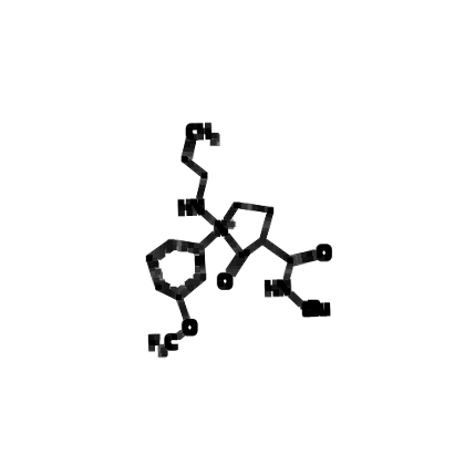 C=CCN[N+]1(c2cccc(OC(F)(F)F)c2)CCC(C(=O)NC(C)(C)C)C1=O